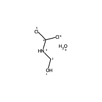 O.OCNC(Cl)Cl